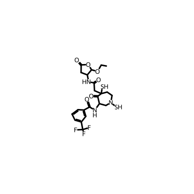 CCOC1OC(=O)CC1NC(=O)CC1(S)CCN(S)CC(NC(=O)c2cccc(C(F)(F)F)c2)C1=O